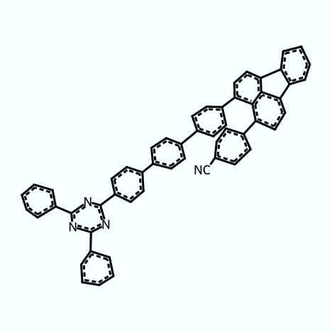 N#Cc1ccc(-c2ccc3c4c(ccc(-c5ccc(-c6ccc(-c7ccc(-c8nc(-c9ccccc9)nc(-c9ccccc9)n8)cc7)cc6)cc5)c24)-c2ccccc2-3)cc1